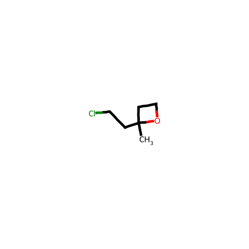 CC1(CCCl)CCO1